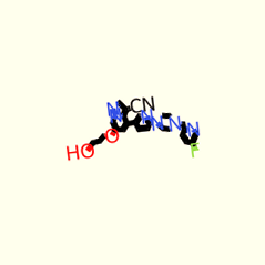 N#Cc1cnn2cc(OCCCO)cc(-c3ccc(N4CCN(Cc5ccc(F)cn5)CC4)nc3)c12